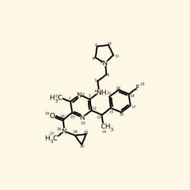 Cc1nc(NCCN2CCCC2)c(C(C)c2ccc(F)cc2)nc1C(=O)N(C)C1CC1